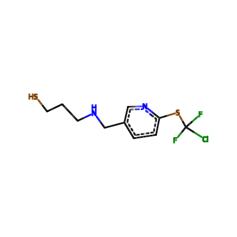 FC(F)(Cl)Sc1ccc(CNCCCS)cn1